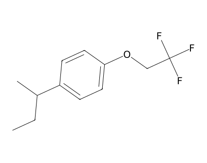 CCC(C)c1ccc(OCC(F)(F)F)cc1